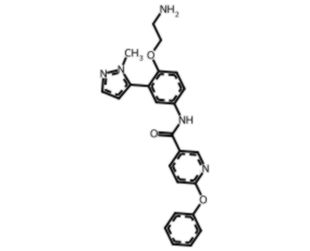 Cn1nccc1-c1cc(NC(=O)c2ccc(Oc3ccccc3)nc2)ccc1OCCN